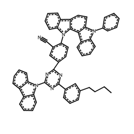 CCCCc1cccc(-c2nc(-c3ccc(-n4c5ccccc5c5ccc6c(c7ccccc7n6-c6ccccc6)c54)c(C#N)c3)nc(-n3c4ccccc4c4ccccc43)n2)c1